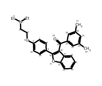 CCN(CC)CCOc1ccc(-c2oc3ccccc3c2C(=O)c2cc(C)cc(C)c2)cc1